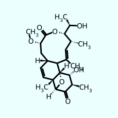 CO[C@H]1C[C@H]2C=C[C@]3(C)[C@H]4[C@H](O)[C@@H](C)C(=O)[C@@H]3O[C@@]24/C(C)=C/[C@@H](C)[C@@H]([C@@H](C)O)OC1=O